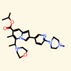 Cc1c(C(=O)OC(C)C)cc2cc(-c3ccc(N4CCN(C)CC4)nc3)cn2c1C(C)N1CCOCC1